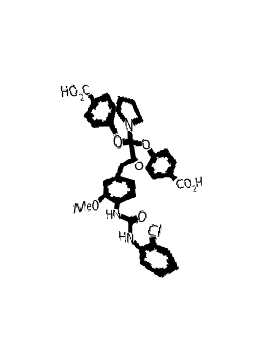 COc1cc(CC(=O)C(Oc2ccc(C(=O)O)cc2)(Oc2ccc(C(=O)O)cc2)N2CCCC2)ccc1NC(=O)Nc1ccccc1Cl